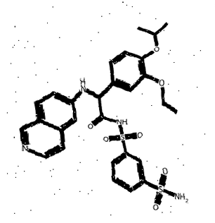 CCOc1cc(C(Nc2ccc3cnccc3c2)C(=O)NS(=O)(=O)c2cccc(S(N)(=O)=O)c2)ccc1OC(C)C